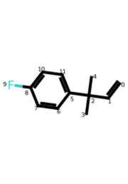 C=CC(C)(C)c1ccc(F)cc1